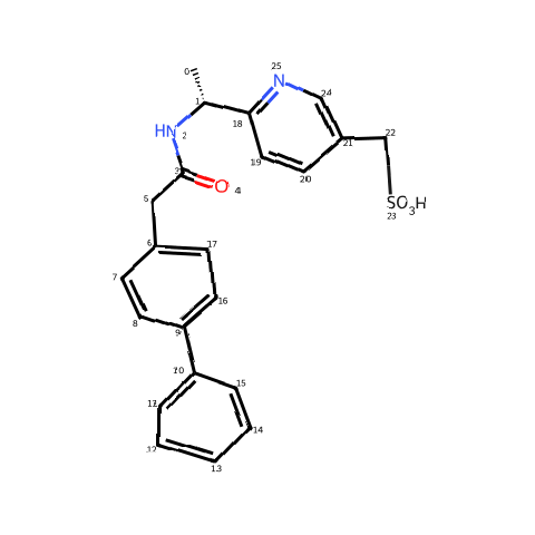 C[C@@H](NC(=O)Cc1ccc(-c2ccccc2)cc1)c1ccc(CS(=O)(=O)O)cn1